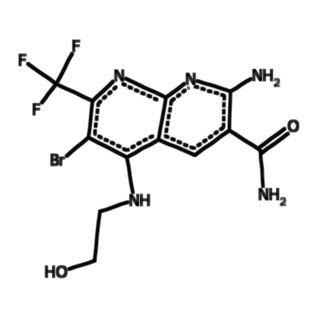 NC(=O)c1cc2c(NCCO)c(Br)c(C(F)(F)F)nc2nc1N